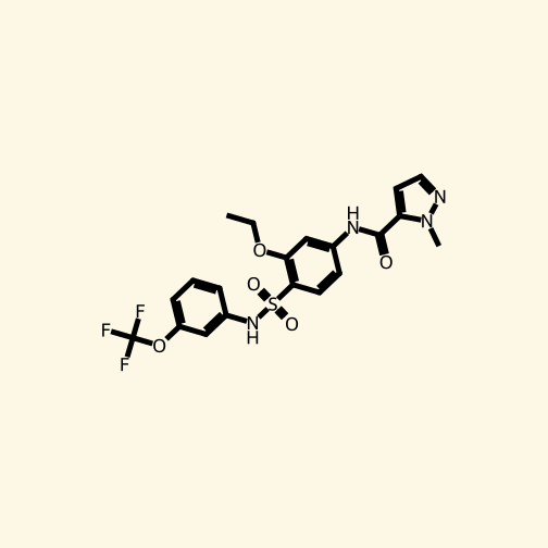 CCOc1cc(NC(=O)c2ccnn2C)ccc1S(=O)(=O)Nc1cccc(OC(F)(F)F)c1